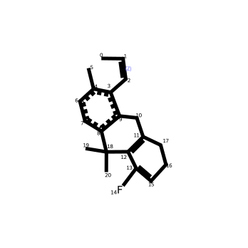 C/C=C\c1c(C)ccc2c1CC1=C(C(F)=CCC1)C2(C)C